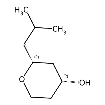 CC(C)C[C@@H]1C[C@H](O)CCO1